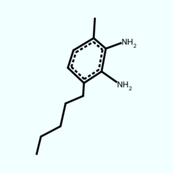 CCCCCc1ccc(C)c(N)c1N